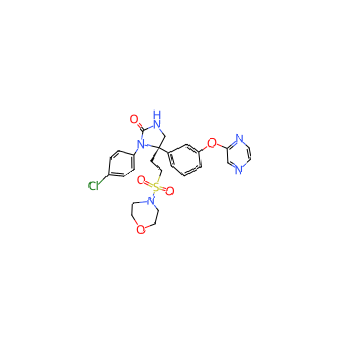 O=C1NC[C@](CCS(=O)(=O)N2CCOCC2)(c2cccc(Oc3cnccn3)c2)N1c1ccc(Cl)cc1